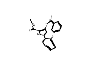 CNC(=O)c1[nH]c(-c2ccccc2F)cc1O[C@H](C)c1ccccc1